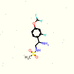 CS(=O)(=O)NCC(N)c1ccc(OC(F)F)cc1F